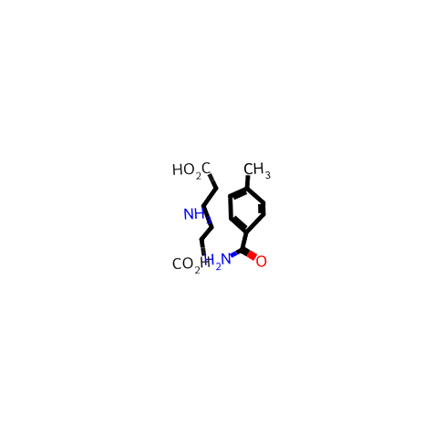 Cc1ccc(C(N)=O)cc1.N.O=C(O)CCCCC(=O)O